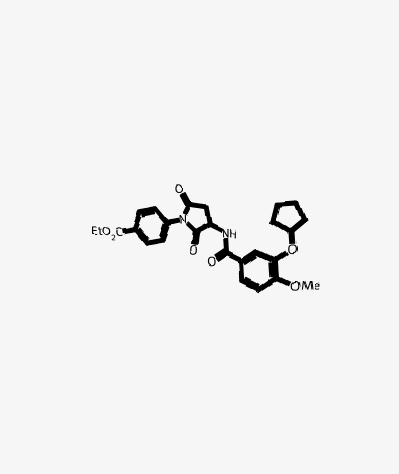 CCOC(=O)c1ccc(N2C(=O)CC(NC(=O)c3ccc(OC)c(OC4CCCC4)c3)C2=O)cc1